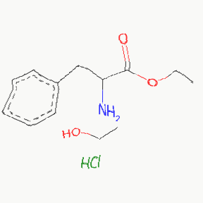 CCO.CCOC(=O)C(N)Cc1ccccc1.Cl